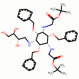 CC(C)(C)OC(=O)CN[C@@H]1[C@H](OCc2ccccc2)[C@H](NCC(=O)OC(C)(C)C)[C@H](OCc2ccccc2)[C@H](NC[C@H](O)[C@H](O)CO)[C@@H]1OCc1ccccc1